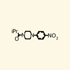 CC(C)C(=O)N1CCN(c2ccc([N+](=O)[O-])cc2)CC1